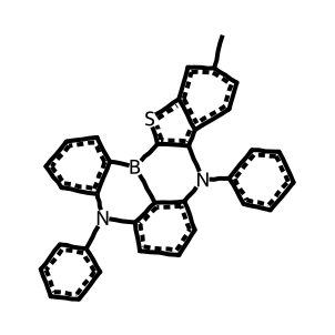 Cc1ccc2c3c(sc2c1)B1c2ccccc2N(c2ccccc2)c2cccc(c21)N3c1ccccc1